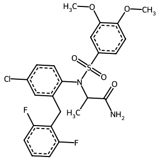 COc1ccc(S(=O)(=O)N(c2ccc(Cl)cc2Cc2c(F)cccc2F)C(C)C(N)=O)cc1OC